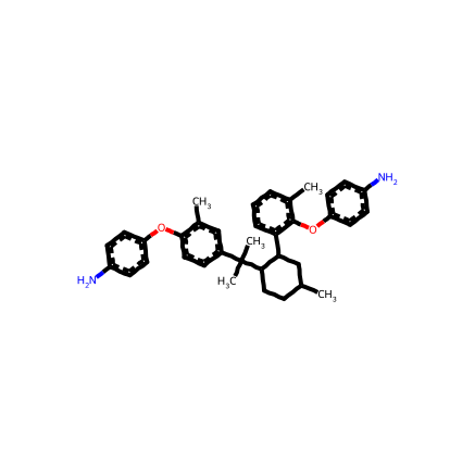 Cc1cc(C(C)(C)C2CCC(C)CC2c2cccc(C)c2Oc2ccc(N)cc2)ccc1Oc1ccc(N)cc1